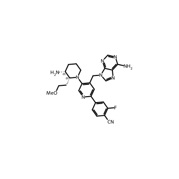 COCC[C@@H]1[C@H](N)CCCN1c1cnc(-c2ccc(C#N)c(F)c2)cc1Cn1cnc2c(N)ncnc21